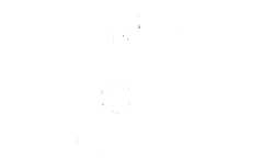 CC(C)(C)OC(=O)NCCc1ccc(CC(=O)O)cc1